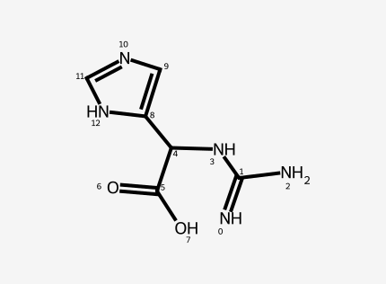 N=C(N)NC(C(=O)O)c1cnc[nH]1